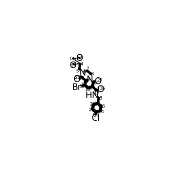 CS(=O)(=O)CCN1CCn2c(c(Br)cc(C(=O)NCc3ccc(Cl)cc3)c2=O)C1=O